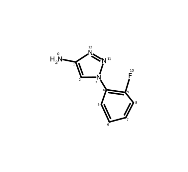 Nc1cn(-c2[c]cccc2F)nn1